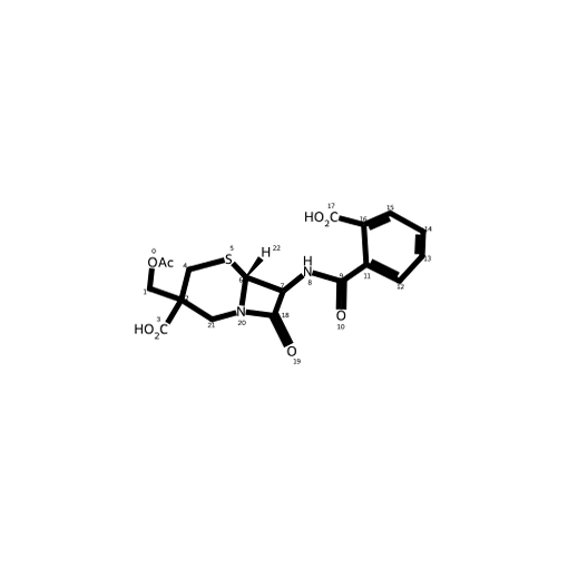 CC(=O)OCC1(C(=O)O)CS[C@@H]2C(NC(=O)c3ccccc3C(=O)O)C(=O)N2C1